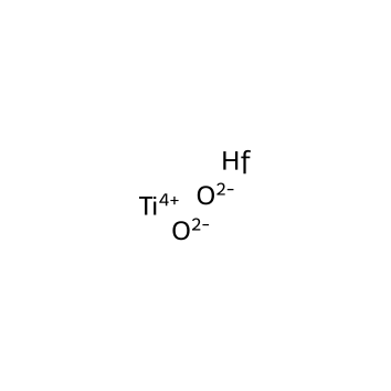 [Hf].[O-2].[O-2].[Ti+4]